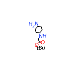 CC(C)(C)OC(=O)CN[C@H]1CC[C@H](N)CC1